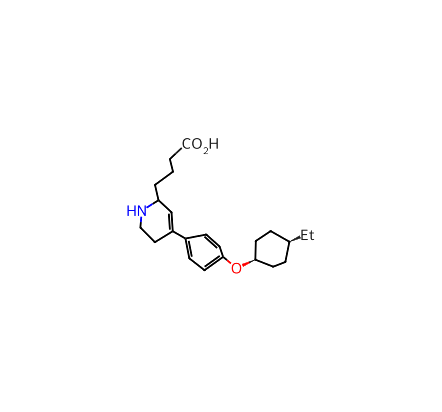 CC[C@H]1CC[C@@H](Oc2ccc(C3=CC(CCCC(=O)O)NCC3)cc2)CC1